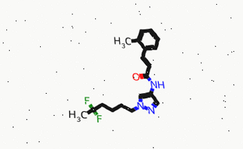 Cc1ccccc1C=CC(=O)Nc1cnn(CCCCC(C)(F)F)c1